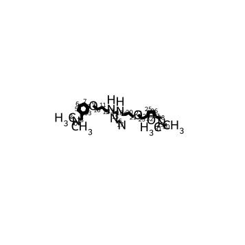 CN(C)Cc1cccc(OCCCNC(=NC#N)NCCCOCc2ccc(CN(C)C)o2)c1